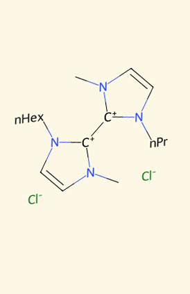 CCCCCCn1ccn(C)[c+]1-[c+]1n(C)ccn1CCC.[Cl-].[Cl-]